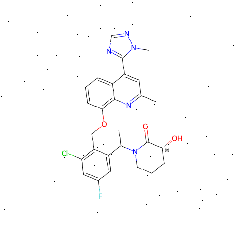 Cc1cc(-c2ncnn2C)c2cccc(OCc3c(Cl)cc(F)cc3C(C)N3CCC[C@@H](O)C3=O)c2n1